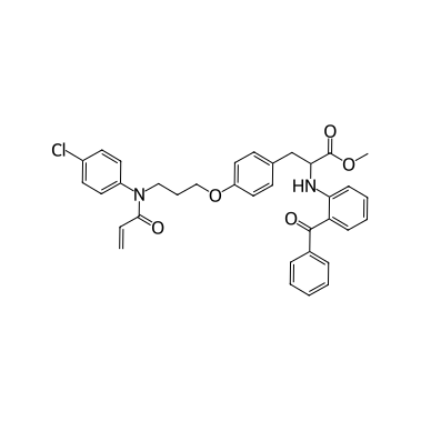 C=CC(=O)N(CCCOc1ccc(CC(Nc2ccccc2C(=O)c2ccccc2)C(=O)OC)cc1)c1ccc(Cl)cc1